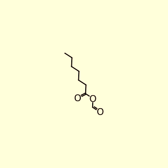 CCCCCCC(=O)OC=O